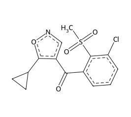 CS(=O)(=O)c1c(Cl)cccc1C(=O)c1cnoc1C1CC1